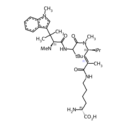 CN[C@H](C(=O)NC(C(=O)N(C)[C@H](/C=C(\C)C(=O)NCCCC[C@@H](N)C(=O)O)C(C)C)C(C)(C)C)C(C)(C)c1cn(C)c2ccccc12